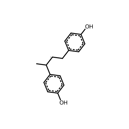 CC([CH]Cc1ccc(O)cc1)c1ccc(O)cc1